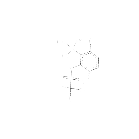 C[Si](C)(C)c1c(F)ccc(F)c1OS(=O)(=O)C(F)(F)F